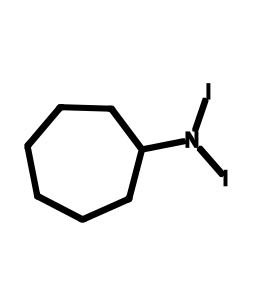 IN(I)C1CCCCCC1